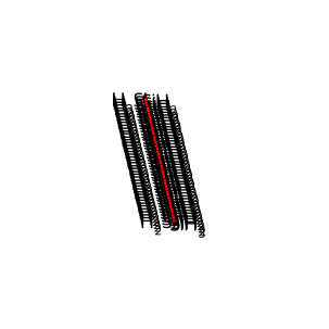 [SiH3][SiH2][SiH2][SiH2][SiH2][SiH2][SiH2][SiH2][SiH2][SiH2][SiH2][SiH2][SiH2][SiH2][SiH2][SiH2][SiH2][SiH2][SiH2][SiH2][SiH2][SiH2][SiH2][SiH2][SiH2][SiH2][SiH2][SiH2][SiH2][SiH2][SiH2][SiH2][SiH2][SiH2][SiH2][SiH2][SiH2][SiH2][SiH2][SiH2][SiH2][SiH2][SiH2][SiH2][SiH2][SiH2][SiH2][SiH2][SiH2][SiH2][SiH2][SiH2][SiH2][SiH2][SiH2][SiH2][SiH2][SiH2][SiH2][SiH2][SiH2][SiH2][SiH2][SiH2][SiH2][SiH2][SiH2][SiH2][SiH2][SiH2][SiH2][SiH2][SiH2][SiH2][SiH2][SiH2][SiH2][SiH2][SiH2][SiH2][SiH2][SiH2][SiH2][SiH2][SiH2][SiH2][SiH3]